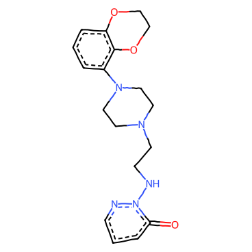 O=c1cccnn1NCCN1CCN(c2cccc3c2OCCO3)CC1